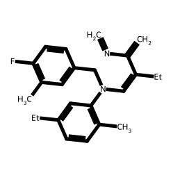 C=NC(=C)/C(=C\N(Cc1ccc(F)c(C)c1)c1cc(CC)ccc1C)CC